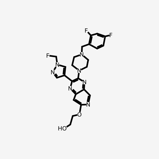 OCCOc1cc2nc(-c3cnn(CF)c3)c(N3CCN(Cc4ccc(F)cc4F)CC3)nc2cn1